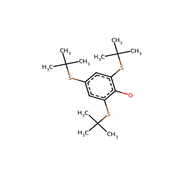 CC(C)(C)Sc1cc(SC(C)(C)C)c([O])c(SC(C)(C)C)c1